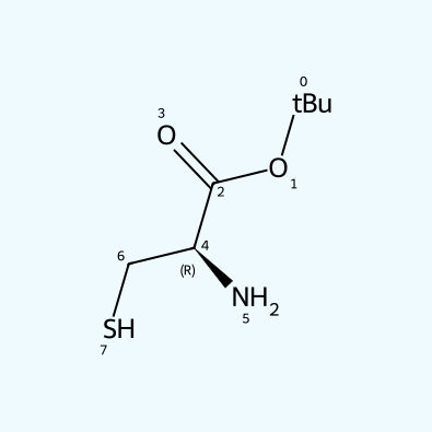 CC(C)(C)OC(=O)[C@@H](N)CS